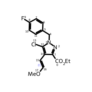 CCOC(=O)c1nn(Cc2ccc(F)cc2)c(Cl)c1/C=C/OC